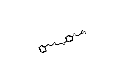 c1ccc(CCOCCOc2ccc(OCC3CO3)cc2)cc1